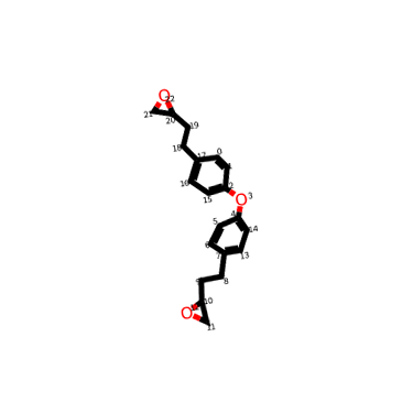 c1cc(Oc2ccc(CCC3CO3)cc2)ccc1CCC1CO1